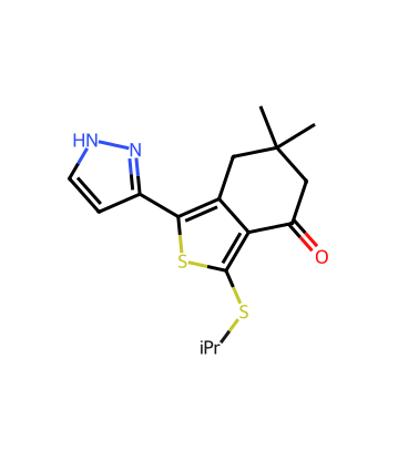 CC(C)Sc1sc(-c2cc[nH]n2)c2c1C(=O)CC(C)(C)C2